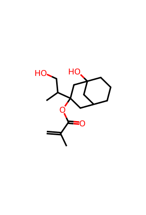 C=C(C)C(=O)OC1(C(C)CO)CC2CCCC(O)(C2)C1